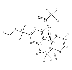 CCCC(C)(C)c1cc(OC(=O)C(C)(C)C)c2c(c1)OC(C)(C)[C@@H]1CC=C(C)C[C@@H]21